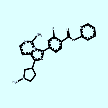 CN1CCC(c2nc(-c3ccc(C(=O)Nc4ccccn4)c(F)c3)n3c(N)nccc23)C1